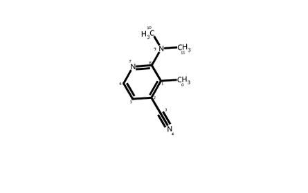 Cc1c(C#N)ccnc1N(C)C